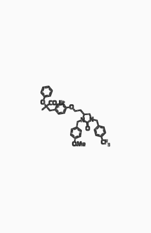 CCOC(=O)C(C)(Cc1ccc(OCCC2CN(Cc3ccc(C(F)(F)F)cc3)C(=O)N2Cc2ccc(OC)cc2)cc1)Oc1ccccc1